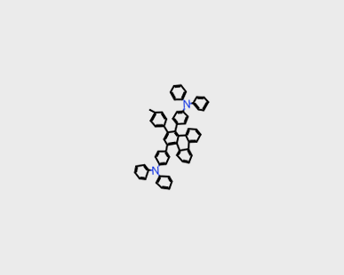 Cc1ccc(-c2cc(-c3ccc(N(c4ccccc4)c4ccccc4)cc3)c3c4ccccc4c4ccccc4c3c2-c2ccc(N(c3ccccc3)c3ccccc3)cc2)cc1